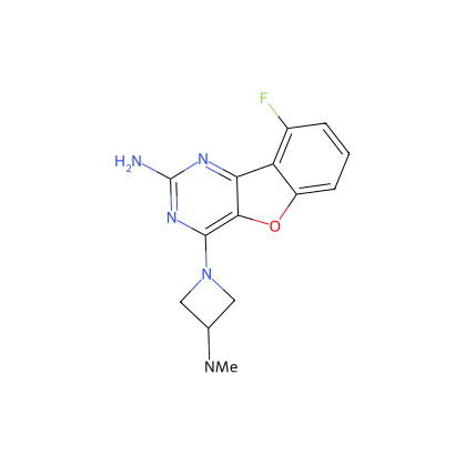 CNC1CN(c2nc(N)nc3c2oc2cccc(F)c23)C1